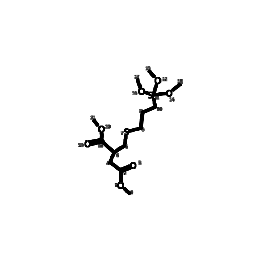 COC(=O)CC(CSCCC[Si](OC)(OC)OC)C(=O)OC